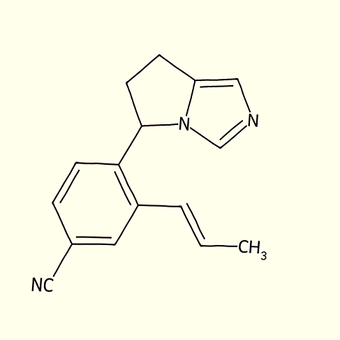 CC=Cc1cc(C#N)ccc1C1CCc2cncn21